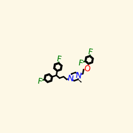 C[C@H]1CN(CCCC(c2ccc(F)cc2)c2ccc(F)cc2)CCN1CCOc1ccc(F)cc1F